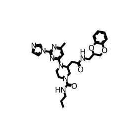 CCCNC(=O)N1CCN(c2cc(C)nc(-n3ccnc3)n2)C(CC(=O)NCC2COc3ccccc3O2)C1